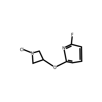 Fc1cccc(OC2CN(Cl)C2)n1